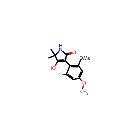 COc1cc(OC(F)(F)F)cc(Cl)c1C1=C(O)C(C)(C)NC1=O